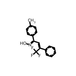 Cc1ccc(C(/C=C(/c2ccccc2)C(F)(F)F)=N\O)cc1